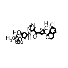 Cc1sc(C(=O)c2cncnc2N[C@@H]2CC(O[Si](C)(C)C(C)(C)C)[C@@H](O)C2)cc1[C@@H]1OCCc2ccc(Cl)cc21